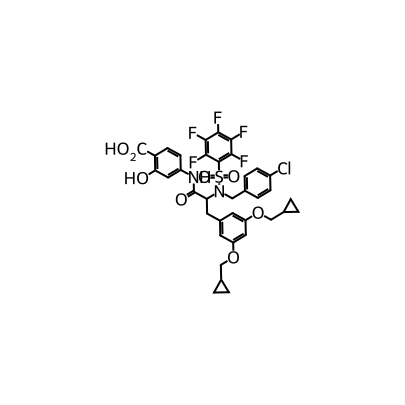 O=C(O)c1ccc(NC(=O)C(Cc2cc(OCC3CC3)cc(OCC3CC3)c2)N(Cc2ccc(Cl)cc2)S(=O)(=O)c2c(F)c(F)c(F)c(F)c2F)cc1O